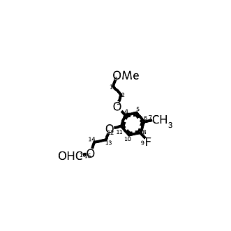 COCCOc1cc(C)c(F)cc1OCCOC=O